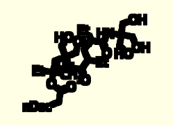 CCCCCCCCCCCC(=O)OC(C)(CC)CC(CO)(CO)NC(=O)C(CC)CC(CC)C(=O)NC(CO)(CO)CO